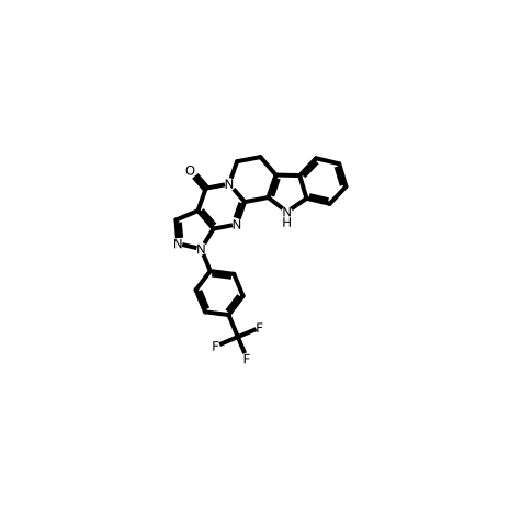 O=c1c2cnn(-c3ccc(C(F)(F)F)cc3)c2nc2n1CCc1c-2[nH]c2ccccc12